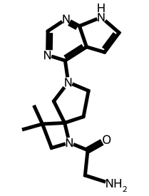 CC1(C)CN(C(=O)CN)C12CCN(c1ncnc3[nH]ccc13)C2